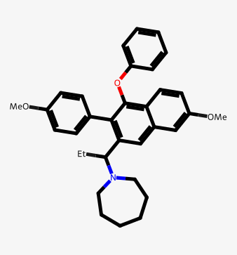 CCC(c1cc2cc(OC)ccc2c(Oc2ccccc2)c1-c1ccc(OC)cc1)N1CCCCCC1